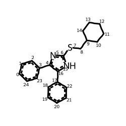 c1ccc(-c2nc(SCC3CCCCC3)[nH]c2-c2ccccc2)cc1